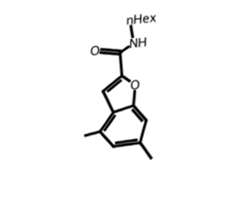 CCCCCCNC(=O)c1cc2c(C)cc(C)cc2o1